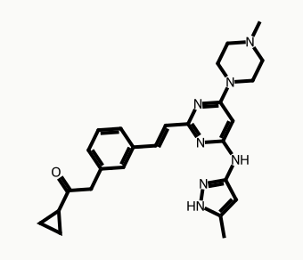 Cc1cc(Nc2cc(N3CCN(C)CC3)nc(/C=C/c3cccc(CC(=O)C4CC4)c3)n2)n[nH]1